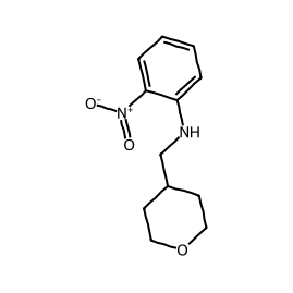 O=[N+]([O-])c1ccccc1NCC1CCOCC1